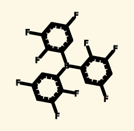 Fc1cc(F)c(F)c(B(c2cc(F)cc(F)c2F)c2cc(F)cc(F)c2F)c1